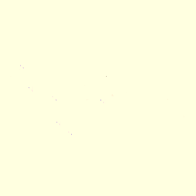 Cc1nccn1-c1ccn2ncc(C(=O)N[C@@H](c3ccc(OC(F)(F)F)cc3)C(C)(C)O)c2n1